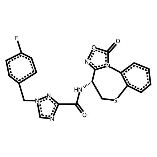 O=C(N[C@H]1CSc2ccccc2-n2c1noc2=O)c1ncn(Cc2ccc(F)cc2)n1